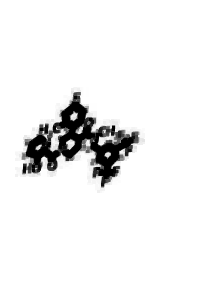 Cc1cc(F)ccc1C1CN(C(=O)c2ncccc2O)CCC1C(=O)N(C)Cc1cc(C(F)(F)F)cc(C(F)(F)F)c1